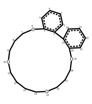 c1ccc2c(c1)OCCCOCCCCOCCCOc1ccccc1-2